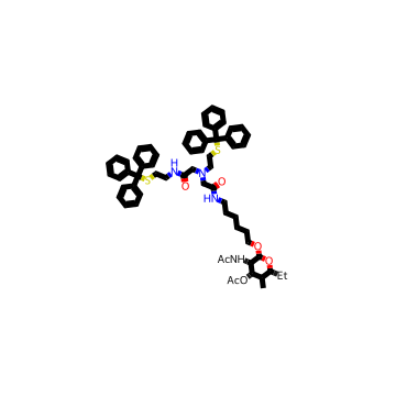 CCC1OC(OCCCCCCNC(=O)CN(CCSC(c2ccccc2)(c2ccccc2)c2ccccc2)CC(=O)NCCSC(c2ccccc2)(c2ccccc2)c2ccccc2)C(NC(C)=O)C(OC(C)=O)C1C